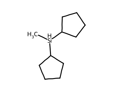 C[SiH](C1CCCC1)C1CCCC1